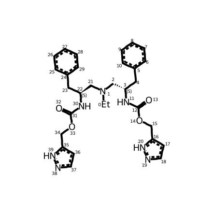 CCN(C[C@H](Cc1ccccc1)NC(=O)OCc1ccn[nH]1)C[C@H](Cc1ccccc1)NC(=O)OCc1ccn[nH]1